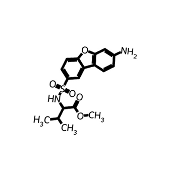 COC(=O)C(NS(=O)(=O)c1ccc2oc3cc(N)ccc3c2c1)C(C)C